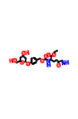 CCOC(=O)C(CCC(=O)C=N)NC(=O)OCc1ccc(OC2CC(O)CC(CO)O2)cc1